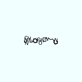 Cn1ccnc1SCc1ccc(OC(=O)N2CCN(CCCc3ccccn3)CC2)cc1